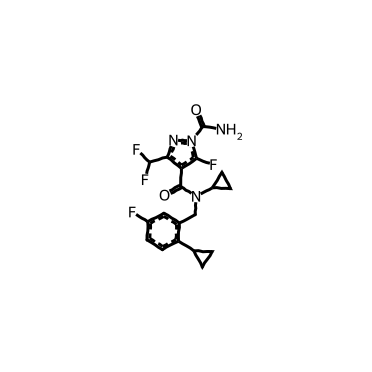 NC(=O)n1nc(C(F)F)c(C(=O)N(Cc2cc(F)ccc2C2CC2)C2CC2)c1F